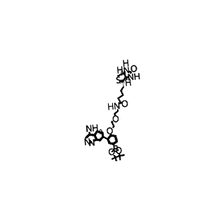 CC1(C)OB(c2ccc(OCCOCCNC(=O)CCCC[C@@H]3SC[C@@H]4NC(=O)N[C@@H]43)c(-c3ccc4c(N)cnnc4c3)c2)OC1(C)C